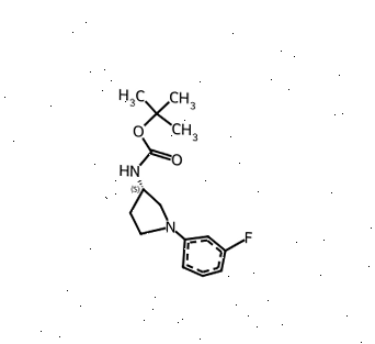 CC(C)(C)OC(=O)N[C@H]1CCN(c2cccc(F)c2)C1